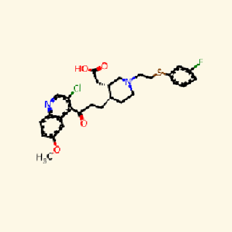 COc1ccc2ncc(Cl)c(C(=O)CC[C@@H]3CCN(CCSc4cccc(F)c4)C[C@H]3CC(=O)O)c2c1